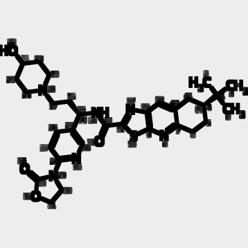 CC(C)(C)[C@H]1CCc2nc3sc(C(=O)N[C@H](CCN4CCC(O)CC4)c4ccc(N5CCOC5=O)nc4)nc3cc2C1